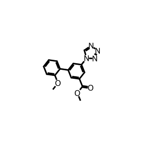 COC(=O)c1cc(-c2ccccc2OC)cc(-n2cnnn2)c1